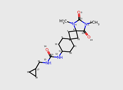 CN1C(=O)N(C)C2(CC3(CCC(NC(=O)NCC4CC4)CC3)C2)C1=O